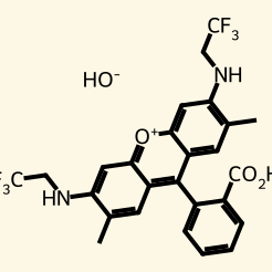 Cc1cc2c(-c3ccccc3C(=O)O)c3cc(C)c(NCC(F)(F)F)cc3[o+]c2cc1NCC(F)(F)F.[OH-]